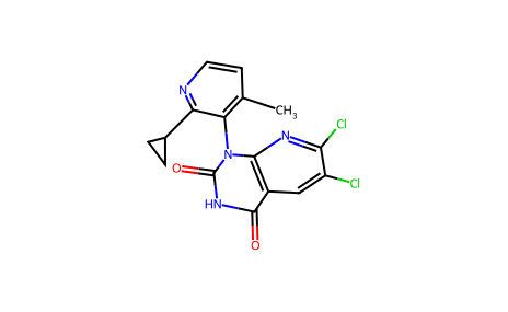 Cc1ccnc(C2CC2)c1-n1c(=O)[nH]c(=O)c2cc(Cl)c(Cl)nc21